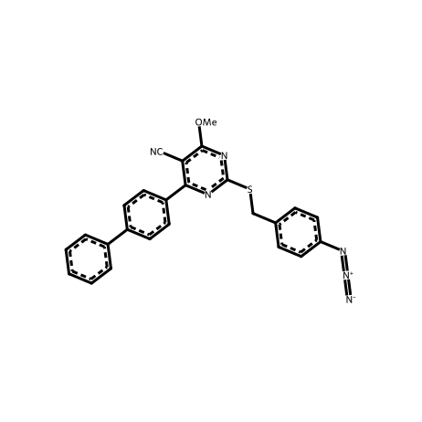 COc1nc(SCc2ccc(N=[N+]=[N-])cc2)nc(-c2ccc(-c3ccccc3)cc2)c1C#N